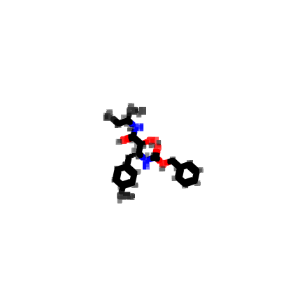 COc1ccc(C[C@@H](NC(=O)OCc2ccccc2)[C@H](O)C(=O)N[C@@H](CC(C)C)C(=O)O)cc1